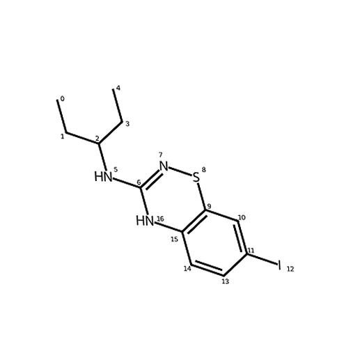 CCC(CC)NC1=NSc2cc(I)ccc2N1